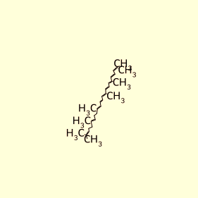 CC(C)=C/C=C/C(C)=C/C=C/C(C)=C/C=C/C=C(\C)CC/C=C(\C)CCC=C(C)C